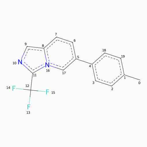 Cc1ccc(-c2ccc3cnc(C(F)(F)F)n3c2)cc1